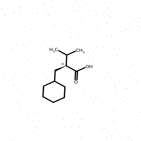 CC(C)[C@H](CC1CCCCC1)C(=O)O